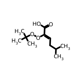 CC(C)CC=C(OOC(C)(C)C)C(=O)O